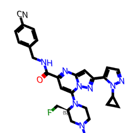 CN1CCN(c2cc(C(=O)NCc3ccc(C#N)cc3)nc3cc(-c4ccnn4C4CC4)nn23)[C@H](CF)C1